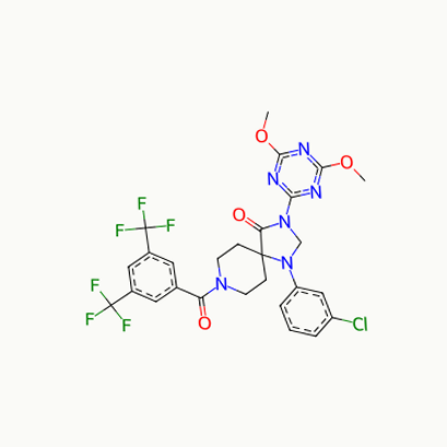 COc1nc(OC)nc(N2CN(c3cccc(Cl)c3)C3(CCN(C(=O)c4cc(C(F)(F)F)cc(C(F)(F)F)c4)CC3)C2=O)n1